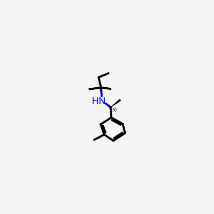 CCC(C)(C)N[C@@H](C)c1cccc(C)c1